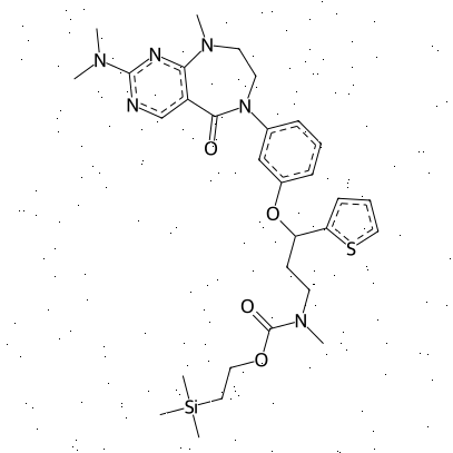 CN(CCC(Oc1cccc(N2CCN(C)c3nc(N(C)C)ncc3C2=O)c1)c1cccs1)C(=O)OCC[Si](C)(C)C